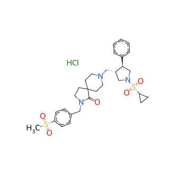 CS(=O)(=O)c1ccc(CN2CCC3(CCN(C[C@H]4CN(S(=O)(=O)C5CC5)C[C@@H]4c4ccccc4)CC3)C2=O)cc1.Cl